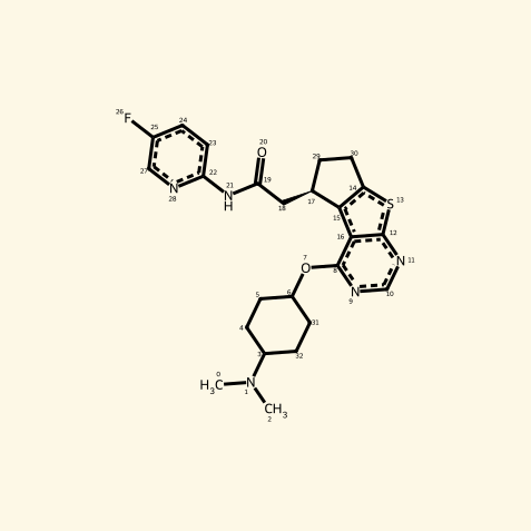 CN(C)C1CCC(Oc2ncnc3sc4c(c23)[C@@H](CC(=O)Nc2ccc(F)cn2)CC4)CC1